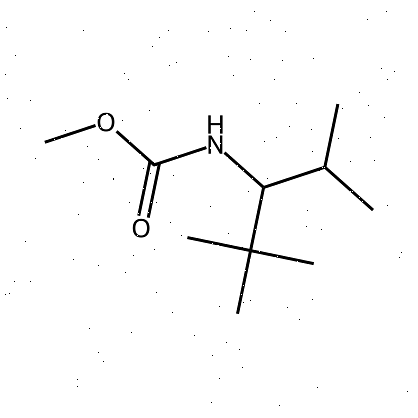 COC(=O)NC(C(C)C)C(C)(C)C